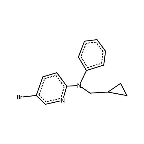 Brc1ccc(N(CC2CC2)c2ccccc2)nc1